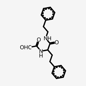 O=CC(=O)NC(CCc1ccccc1)C(=O)NCCc1ccccc1